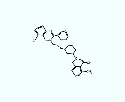 Cc1cccc(COC2CCCC(OCCN(Cc3ccccc3Cl)C(=O)c3ccccc3)C2)c1C(=O)O